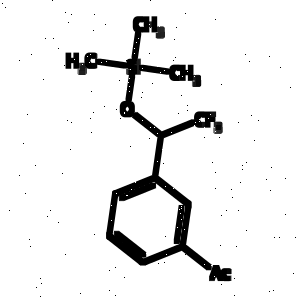 CC(=O)c1cccc(C(O[Si](C)(C)C)C(F)(F)F)c1